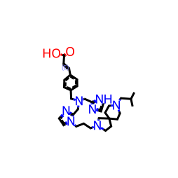 CC(C)CN1CCC2(CC1)CCN(CCCn1ccnc1CN(Cc1ccc(/C=C/C(=O)O)cc1)Cc1ncc[nH]1)C2